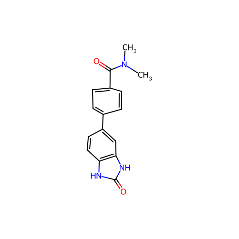 CN(C)C(=O)c1ccc(-c2ccc3[nH]c(=O)[nH]c3c2)cc1